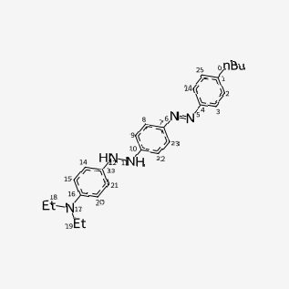 CCCCc1ccc(/N=N/c2ccc(NNc3ccc(N(CC)CC)cc3)cc2)cc1